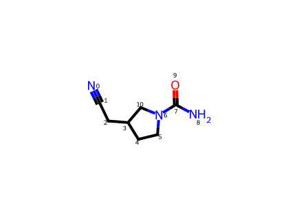 N#CCC1CCN(C(N)=O)C1